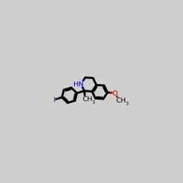 COc1ccc2c(c1)CCNC2(C)c1ccc(I)cc1